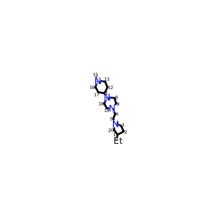 CCC1CCN(CCN2CCN(C3CCN(C)CC3)CC2)C1